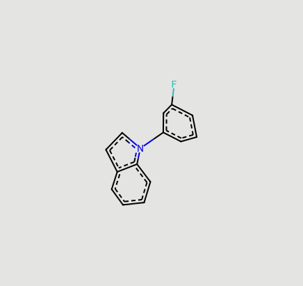 Fc1cccc(-n2ccc3ccccc32)c1